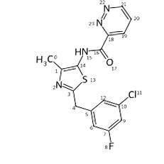 Cc1nc(Cc2cc(F)cc(Cl)c2)sc1NC(=O)c1cccnn1